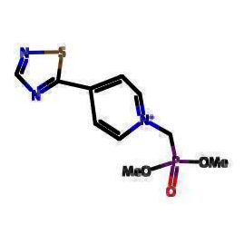 COP(=O)(C[n+]1ccc(-c2ncns2)cc1)OC